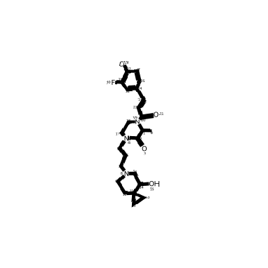 CC1C(=O)N(CCCN2CCC3(CC3)C(O)C2)CCN1C(=O)C=Cc1ccc(Cl)c(F)c1